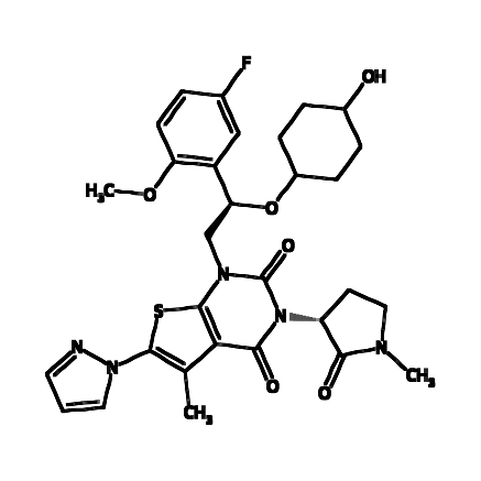 COc1ccc(F)cc1[C@H](Cn1c(=O)n([C@@H]2CCN(C)C2=O)c(=O)c2c(C)c(-n3cccn3)sc21)OC1CCC(O)CC1